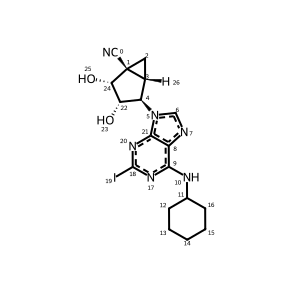 N#C[C@@]12C[C@@H]1[C@@H](n1cnc3c(NC4CCCCC4)nc(I)nc31)[C@H](O)[C@@H]2O